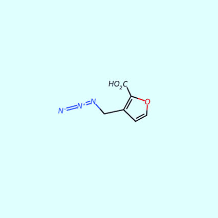 [N-]=[N+]=NCc1ccoc1C(=O)O